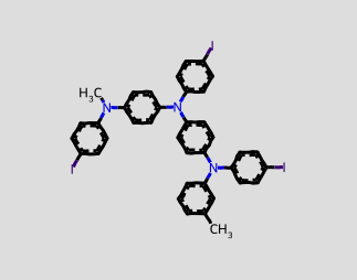 Cc1cccc(N(c2ccc(I)cc2)c2ccc(N(c3ccc(I)cc3)c3ccc(N(C)c4ccc(I)cc4)cc3)cc2)c1